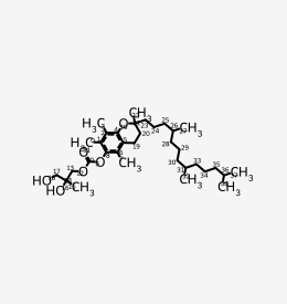 Cc1c(C)c2c(c(C)c1OC(=O)OCC(C)(O)CO)CCC(C)(CCCC(C)CCCC(C)CCCC(C)C)O2